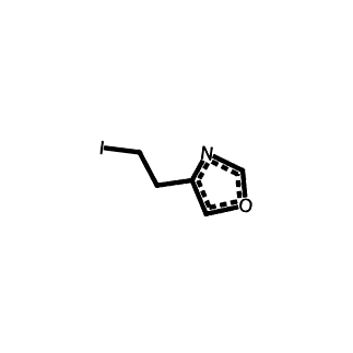 ICCc1cocn1